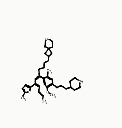 CCC/C=C(/C=C(/CCCCC1CC2(CCNCC2)C1)c1cc(OC)c(CCCC2CCNCC2)cc1C)c1ccc(C)o1